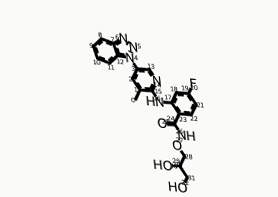 Cc1cc(-n2nnc3ccccc32)cnc1Nc1cc(F)ccc1C(=O)NOC[C@H](O)CO